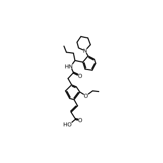 CCCC(NC(=O)Cc1ccc(C=CC(=O)O)c(OCC)c1)c1ccccc1N1CCCCC1